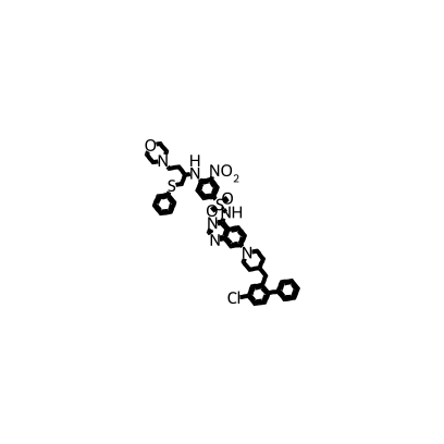 O=[N+]([O-])c1cc(S(=O)(=O)Nc2ncnc3cc(N4CCC(Cc5cc(Cl)ccc5-c5ccccc5)CC4)ccc23)ccc1NC(CCN1CCOCC1)CSc1ccccc1